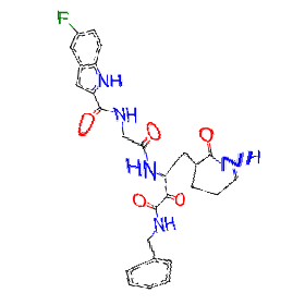 O=C(CNC(=O)c1cc2cc(F)ccc2[nH]1)NC(CC1CCCNC1=O)C(=O)C(=O)NCc1ccccc1